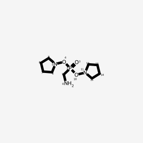 NCP(=O)(ON1CCCC1)ON1CCCC1